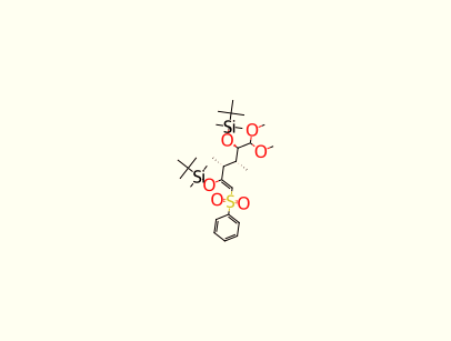 COC(OC)[C@H](O[Si](C)(C)C(C)(C)C)[C@H](C)[C@@H](C)C(=CS(=O)(=O)c1ccccc1)O[Si](C)(C)C(C)(C)C